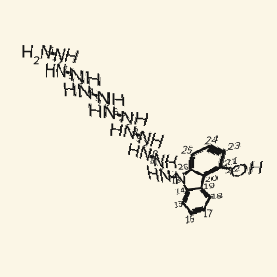 NNNNNNNNNNNNNn1c2ccccc2c2c(O)cccc21